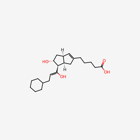 O=C(O)CCCCC1=C[C@@H]2C[C@@H](O)[C@H](C(O)=CCC3CCCCC3)[C@@H]2C1